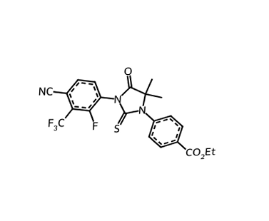 CCOC(=O)c1ccc(N2C(=S)N(c3ccc(C#N)c(C(F)(F)F)c3F)C(=O)C2(C)C)cc1